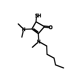 CCCCCN(C)C1=C(N(C)C)C(S)C1=O